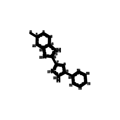 Cc1ccc2[nH]c(-c3cc(-c4ccccc4)[nH]n3)nc2c1